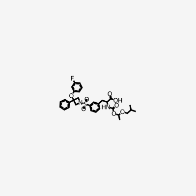 CC(C)COC(C)OC(=O)NC(Cc1cccc(S(=O)(=O)N2CC(Oc3cccc(F)c3)(c3ccccc3)C2)c1)C(=O)O